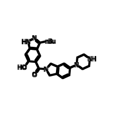 CCCCc1n[nH]c2cc(O)c(C(=O)N3Cc4ccc(N5CCNCC5)cc4C3)cc12